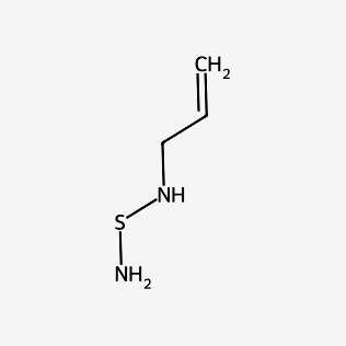 C=CCNSN